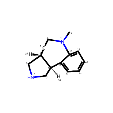 CN1CC[C@H]2CNC[C@@H]2c2ccccc21